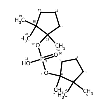 CC1(C)CCCC1(C)OP(=O)(O)OC1(C)CCCC1(C)C